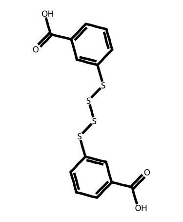 O=C(O)c1cccc(SSSSc2cccc(C(=O)O)c2)c1